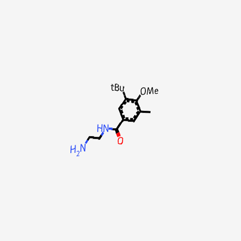 COc1c(C)cc(C(=O)NCCN)cc1C(C)(C)C